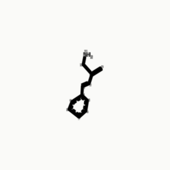 C=C(/C=C/c1ccccc1)CN